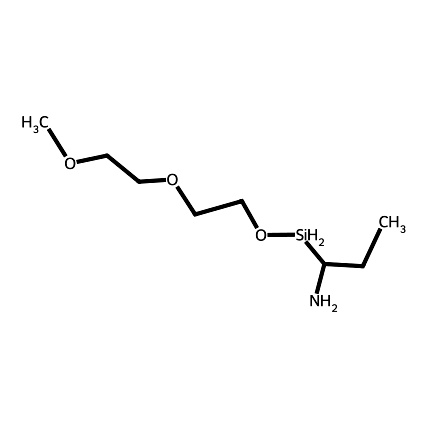 CCC(N)[SiH2]OCCOCCOC